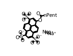 CCCCCC(=O)Oc1cc(S(=O)(=O)[O-])c2ccc3c(S(=O)(=O)[O-])cc(S(=O)(=O)[O-])c4ccc1c2c43.[Na+].[Na+].[Na+]